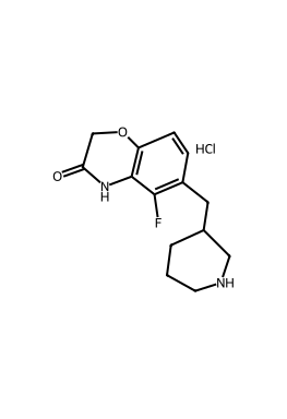 Cl.O=C1COc2ccc(CC3CCCNC3)c(F)c2N1